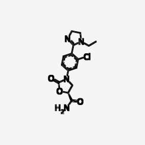 CCN1CCN=C1c1ccc(N2C[C@@H](C(N)=O)OC2=O)cc1Cl